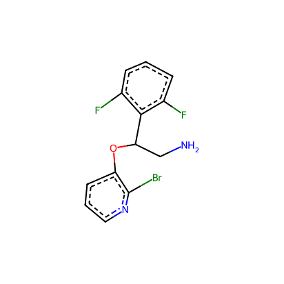 NCC(Oc1cccnc1Br)c1c(F)cccc1F